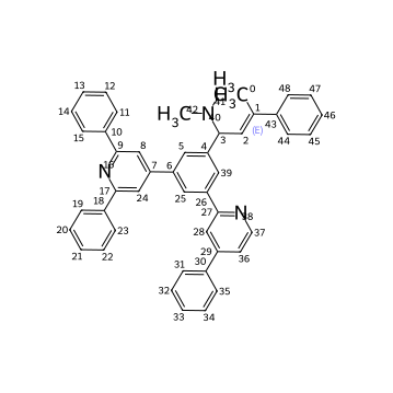 C/C(=C\C(c1cc(-c2cc(-c3ccccc3)nc(-c3ccccc3)c2)cc(-c2cc(-c3ccccc3)ccn2)c1)N(C)C)c1ccccc1